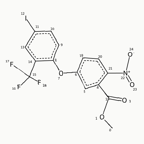 COC(=O)c1cc(Oc2ccc(I)cc2C(F)(F)F)ccc1[N+](=O)[O-]